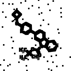 CC(C)(C)OC(=O)n1c2ccncc2c2ccc(-c3ccc(OC4CCC4)nc3)cc21